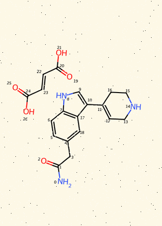 NC(=O)Cc1ccc2[nH]cc(C3=CCNCC3)c2c1.O=C(O)C=CC(=O)O